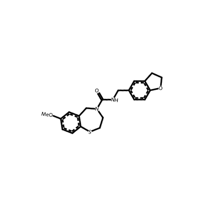 COc1ccc2c(c1)CN(C(=O)NCc1ccc3c(c1)CCO3)CCS2